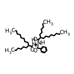 CCCCCCCCC(CCCCCC)C(=O)N[N+](NC(=O)C(CCCCCC)CCCCCCCC)C(=O)c1ccccc1